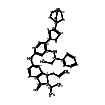 C=CCn1c2nc(Nc3cc(N[C@H](CO)c4ccccc4)c(-c4nc(C56CCN(CC5)CC6)no4)cn3)ccc2c(=O)n1C(C)C